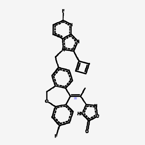 C/C(=C1\c2ccc(Cn3c(C4=CC=C4)nc4nc(F)ccc43)cc2COc2cc(F)ccc21)c1noc(=O)[nH]1